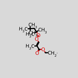 [CH2]COC(=O)C(C)=COOC(C)(C)CC(C)(C)C